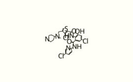 CN1CCC(N(C)Cc2csc(C(=O)Nc3c(O)cc(Cl)cc3C(=O)Nc3ccc(Cl)cn3)c2Cl)CC1